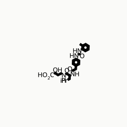 Cc1ccccc1NC(=O)Nc1ccc(CC(=O)NC(CC(C)C)C(=O)NCC[C@@H](O)C(=O)O)cc1